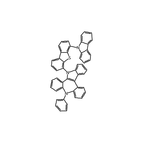 c1ccc(N2c3ccccc3-c3c(n(-c4cccc5c4sc4c(-n6c7ccccc7c7ccccc76)cccc45)c4ccccc34)-c3ccccc32)cc1